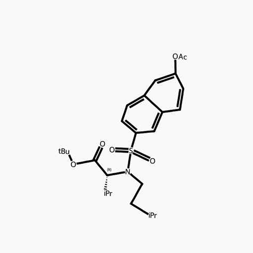 CC(=O)Oc1ccc2cc(S(=O)(=O)N(CCC(C)C)[C@@H](C(=O)OC(C)(C)C)C(C)C)ccc2c1